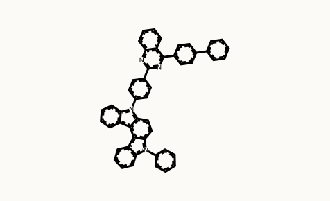 c1ccc(-c2ccc(-c3nc(-c4ccc(-n5c6ccccc6c6c7c8ccccc8n(-c8ccccc8)c7ccc65)cc4)nc4ccccc34)cc2)cc1